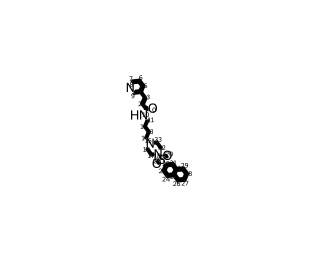 O=C(C=Cc1cccnc1)NCCCCN1CCN(S(=O)(=O)c2ccc3ccccc3c2)CC1